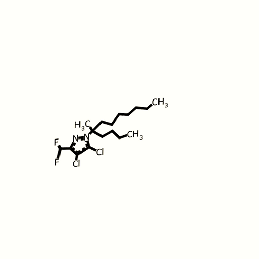 CCCCCCCC(C)(CCCC)n1nc(C(F)F)c(Cl)c1Cl